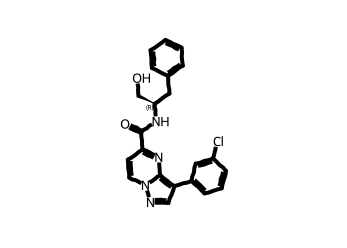 O=C(N[C@@H](CO)Cc1ccccc1)c1ccn2ncc(-c3cccc(Cl)c3)c2n1